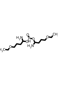 CCOCCCC(N)O[PH](=O)OC(N)CCCOCC